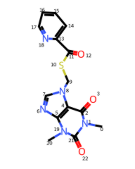 Cn1c(=O)c2c(ncn2CSC(=O)c2ccccn2)n(C)c1=O